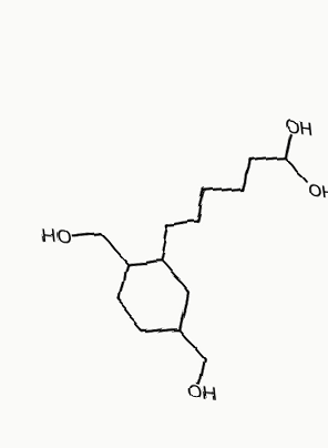 OCC1CCC(CO)C(CCCCCC(O)O)C1